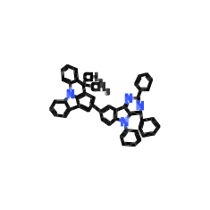 CC1(C)c2ccccc2-n2c3ccccc3c3cc(-c4ccc5c(c4)c4nc(-c6ccccc6)nc(-c6ccccc6)c4n5-c4ccccc4)cc1c32